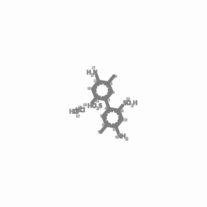 Cc1cc(-c2cc(C)c(N)cc2S(=O)(=O)O)c(S(=O)(=O)O)cc1N.Cl.Cl